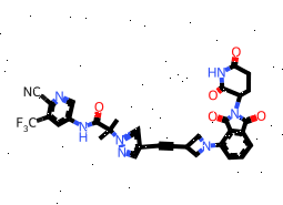 CC(C)(C(=O)Nc1cnc(C#N)c(C(F)(F)F)c1)n1cc(C#CC2CN(c3cccc4c3C(=O)N(C3CCC(=O)NC3=O)C4=O)C2)cn1